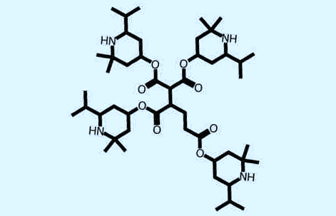 CC(C)C1CC(OC(=O)CCC(C(=O)OC2CC(C(C)C)NC(C)(C)C2)C(C(=O)OC2CC(C(C)C)NC(C)(C)C2)C(=O)OC2CC(C(C)C)NC(C)(C)C2)CC(C)(C)N1